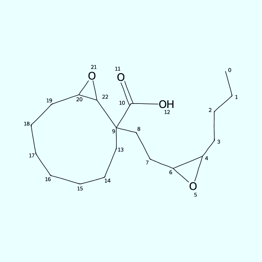 CCCCC1OC1CCC1(C(=O)O)CCCCCCCC2OC21